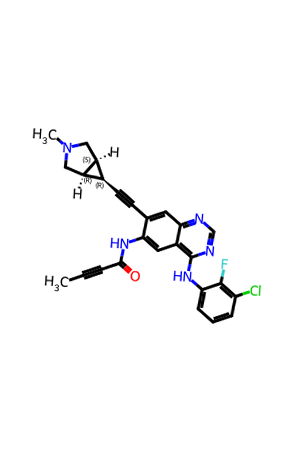 CC#CC(=O)Nc1cc2c(Nc3cccc(Cl)c3F)ncnc2cc1C#C[C@H]1[C@H]2CN(C)C[C@@H]12